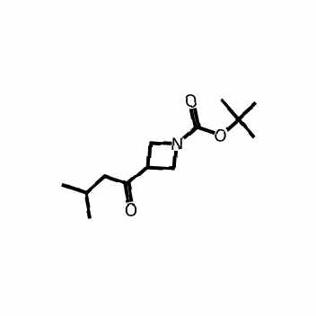 CC(C)CC(=O)C1CN(C(=O)OC(C)(C)C)C1